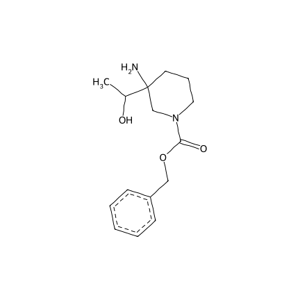 CC(O)C1(N)CCCN(C(=O)OCc2ccccc2)C1